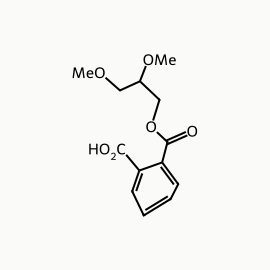 COCC(COC(=O)c1ccccc1C(=O)O)OC